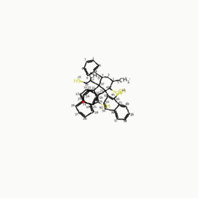 [CH2]C1CC(c2ccccc2)C(c2ccccc2)(C(C)[CH]S)C(c2ccc3ccccc3c2S)(c2ccc3ccccc3c2S)C1S